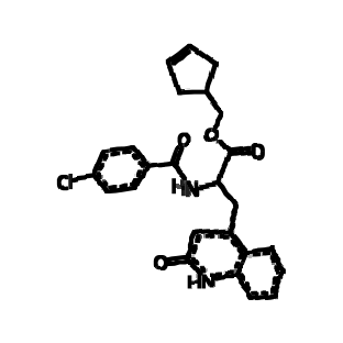 O=C(NC(Cc1cc(=O)[nH]c2ccccc12)C(=O)OCC1CC=CC1)c1ccc(Cl)cc1